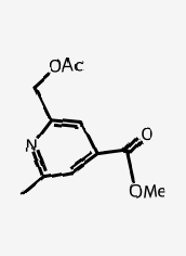 COC(=O)c1cc(C)nc(COC(C)=O)c1